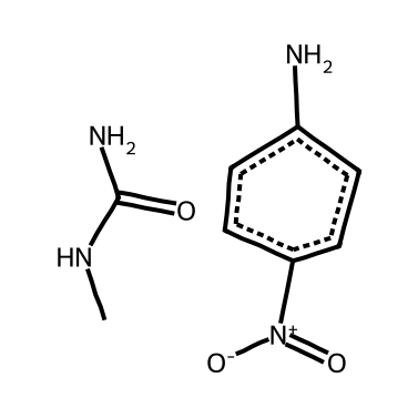 CNC(N)=O.Nc1ccc([N+](=O)[O-])cc1